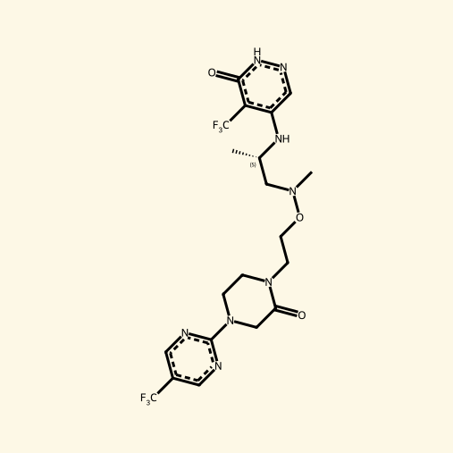 C[C@@H](CN(C)OCCN1CCN(c2ncc(C(F)(F)F)cn2)CC1=O)Nc1cn[nH]c(=O)c1C(F)(F)F